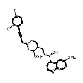 COc1ccc2nccc([C@H](O)CC[C@@H]3CCN(CC#Cc4ccc(F)cc4Cl)C[C@@H]3C(=O)O)c2c1